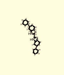 c1ccc(-c2ccc3nc(-c4nc5ccc(-c6ccccc6)cc5[nH]4)[nH]c3c2)cc1